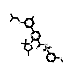 COc1cccc(S(=O)(=O)NC(=O)c2ccc(-c3cc(F)cc(OCC(C)C)c3)nc2N2CC(C)CC2(C)C)c1